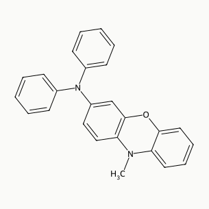 CN1c2ccccc2Oc2cc(N(c3ccccc3)c3ccccc3)ccc21